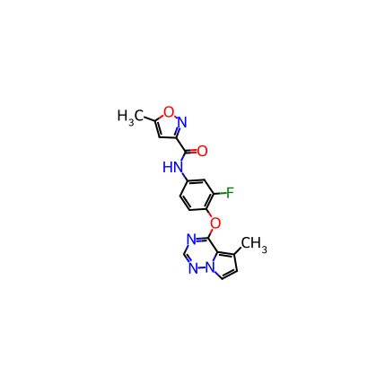 Cc1cc(C(=O)Nc2ccc(Oc3ncnn4ccc(C)c34)c(F)c2)no1